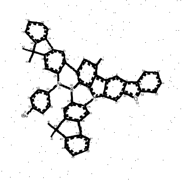 Cc1cc2c3c4c1c1cc5c(cc1n4-c1cc4c(cc1B3N(c1ccc(C(C)(C)C)cc1)c1cc3c(cc1-2)-c1ccccc1C3(C)C)C(C)(C)c1ccccc1-4)oc1ccccc15